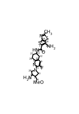 COCC1CN(c2nc3c(cc2F)CC(NC(=O)c2sc4nc(C)sc4c2N)CC3)CC1N